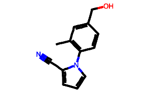 Cc1cc(CO)ccc1-n1cccc1C#N